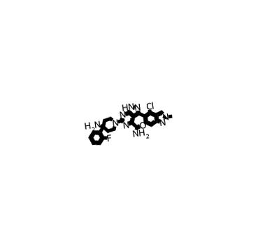 Cn1cc2c(Cl)c(-c3n[nH]c4nc(N5CCC(N)(c6ccccc6F)CC5)nc(C(N)=O)c34)ccc2n1